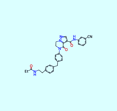 CCC(=O)NCCc1ccc(Cc2ccc(N3CCn4ncc(C(=O)Nc5cccc(C#N)c5)c4C3=O)cc2)cc1